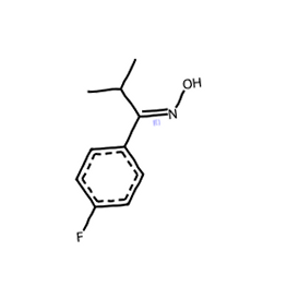 CC(C)/C(=N\O)c1ccc(F)cc1